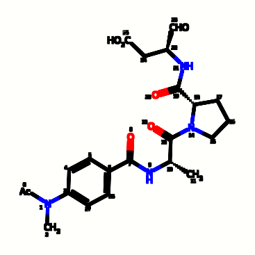 CC(=O)N(C)c1ccc(C(=O)N[C@@H](C)C(=O)N2CCC[C@H]2C(=O)N[C@H](C=O)CC(=O)O)cc1